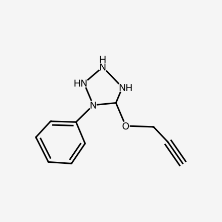 C#CCOC1NNNN1c1ccccc1